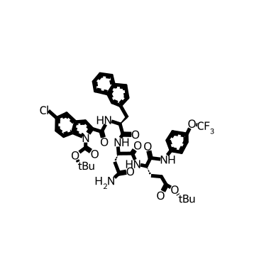 CC(C)(C)OC(=O)CC[C@H](NC(=O)[C@H](CC(N)=O)NC(=O)[C@H](Cc1ccc2ccccc2c1)NC(=O)c1cc2cc(Cl)ccc2n1C(=O)OC(C)(C)C)C(=O)Nc1ccc(OC(F)(F)F)cc1